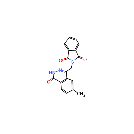 Cc1ccc2c(=O)[nH]nc(CN3C(=O)c4ccccc4C3=O)c2c1